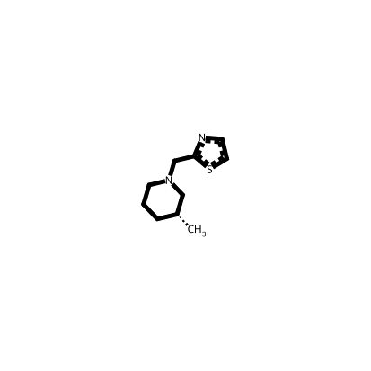 C[C@@H]1CCCN(Cc2nccs2)C1